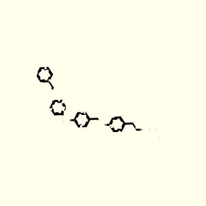 O=C(O)CCc1ccc(OCc2ccc(Oc3ccc(OCc4ccccc4)cc3)cc2)cc1